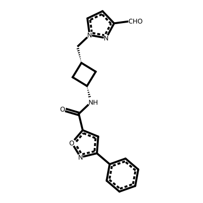 O=Cc1ccn(C[C@H]2C[C@@H](NC(=O)c3cc(-c4ccccc4)no3)C2)n1